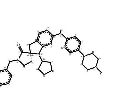 CN1CCN(c2ccc(Nc3ncc4c(n3)N(C3CCCC3)[C@]3(CCN(Cc5ccccc5)C3=O)C4)nc2)CC1